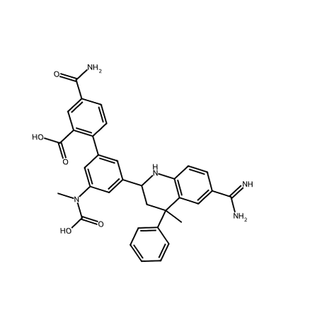 CN(C(=O)O)c1cc(-c2ccc(C(N)=O)cc2C(=O)O)cc(C2CC(C)(c3ccccc3)c3cc(C(=N)N)ccc3N2)c1